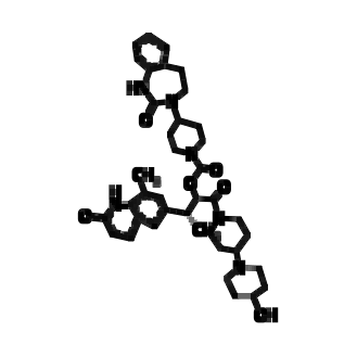 Cc1cc([C@@H](C)C(OC(=O)N2CCC(N3CCc4ccccc4NC3=O)CC2)C(=O)N2CCC(N3CCC(O)CC3)CC2)cc2ccc(=O)[nH]c12